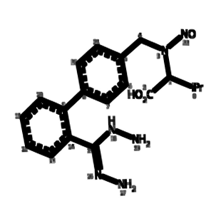 CC(C)C(C(=O)O)N(Cc1ccc(-c2ccccc2/C(=N/N)NN)cc1)N=O